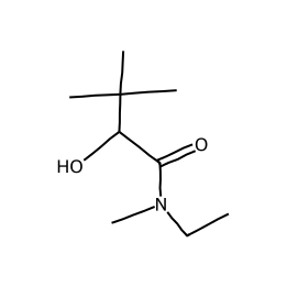 CCN(C)C(=O)C(O)C(C)(C)C